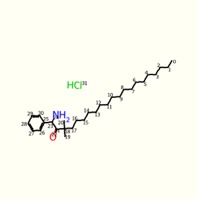 CCCCCCCCCCCCCCCCCCC(C)(C)C(=O)C(N)c1ccccc1.Cl